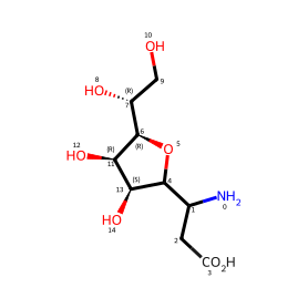 NC(CC(=O)O)C1O[C@H]([C@H](O)CO)[C@H](O)[C@@H]1O